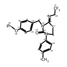 Cc1ccc(N2CSC(=NCC(F)(F)F)N(Cc3ccc(OC(C)C)cc3)C2=O)cc1